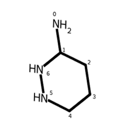 NC1CCCNN1